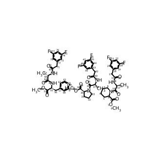 COC(=O)C1CCCCN1C(=O)[C@H](C)NC(=O)Cc1cc(F)cc(F)c1.COC(=O)[C@@H]1CCCN1C(=O)[C@H](C)NC(=O)Cc1cc(F)cc(F)c1.COC(=O)[C@H](Cc1ccncc1)NC(=O)[C@H](C)NC(=O)Cc1cc(F)cc(F)c1